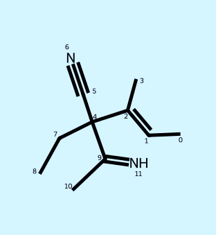 C/C=C(\C)C(C#N)(CC)C(C)=N